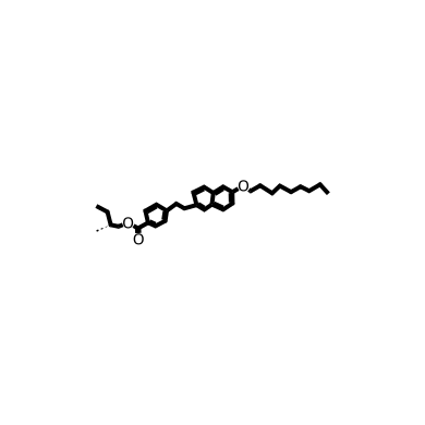 CCCCCCCCCOc1ccc2cc(CCc3ccc(C(=O)OC[C@H](C)CC)cc3)ccc2c1